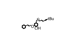 CN(C/C=C/C#CC(C)(C)C)Cc1cccc(OC/C=C/c2ccccc2)c1.Cl